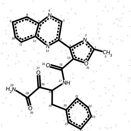 Cc1nc(-c2cnc3ccccc3n2)c(C(=O)NC(Cc2ccccc2)C(=O)C(N)=O)o1